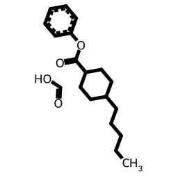 CCCCCC1CCC(C(=O)Oc2ccccc2)CC1.O=CO